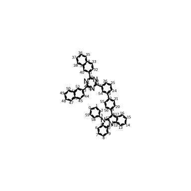 c1ccc(-n2c3ccccc3n3c4ccccc4c(-c4ccc(-c5cccc(-c6nc(-c7ccc8ccccc8c7)nc(-c7ccc8ccccc8c7)n6)c5)cc4)c23)cc1